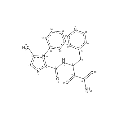 Cc1cnc(C(=O)NC(Cc2ccncc2)C(=O)C(N)=O)n1-c1ccccn1